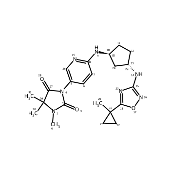 CN1C(=O)N(c2ccc(N[C@H]3CC[C@H](Nc4noc(C5(C)CC5)n4)C3)nc2)C(=O)C1(C)C